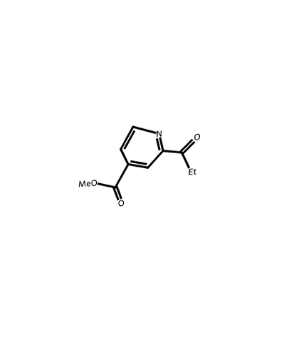 CCC(=O)c1cc(C(=O)OC)ccn1